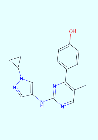 Cc1cnc(Nc2cnn(C3CC3)c2)nc1-c1ccc(O)cc1